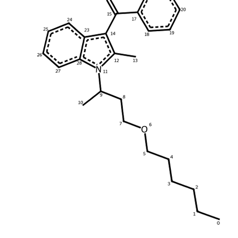 CCCCCCOCCC(C)n1c(C)c(C(=O)c2ccccc2)c2ccccc21